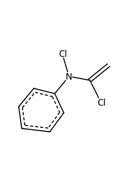 C=C(Cl)N(Cl)c1ccccc1